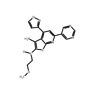 COCC[S+]([O-])c1sc2nc(-c3cncnc3)cc(-c3ccon3)c2c1N